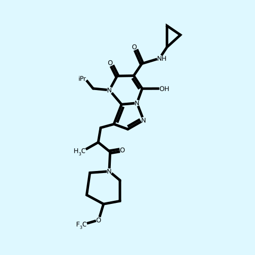 CC(C)Cn1c(=O)c(C(=O)NC2CC2)c(O)n2ncc(CC(C)C(=O)N3CCC(OC(F)(F)F)CC3)c12